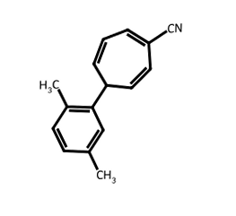 Cc1ccc(C)c(C2C=CC=C(C#N)C=C2)c1